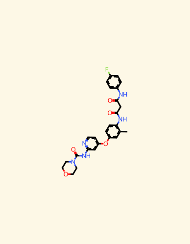 Cc1cc(Oc2ccnc(NC(=O)N3CCOCC3)c2)ccc1NC(=O)CC(=O)Nc1ccc(F)cc1